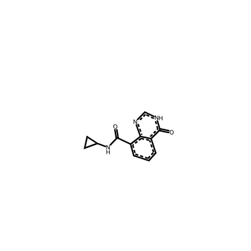 O=C(NC1CC1)c1cccc2c(=O)[nH]cnc12